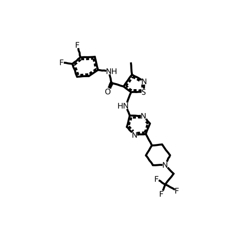 Cc1nsc(Nc2cnc(C3CCN(CC(F)(F)F)CC3)cn2)c1C(=O)Nc1ccc(F)c(F)c1